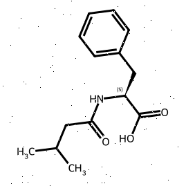 CC(C)CC(=O)N[C@@H](Cc1ccccc1)C(=O)O